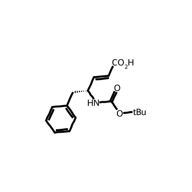 CC(C)(C)OC(=O)N[C@@H](/C=C/C(=O)O)Cc1ccccc1